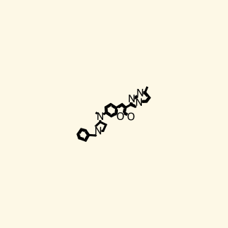 Cc1ccn2cc(-c3cc4ccc(N(C)C5CCN(Cc6ccccc6)C5)cc4oc3=O)nc2n1